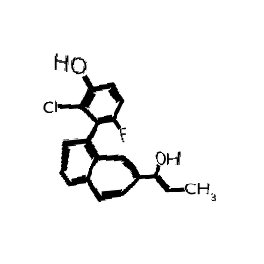 CC=C(O)c1ccc2cccc(-c3c(F)ccc(O)c3Cl)c2c1